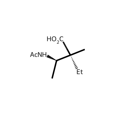 CC[C@@](C)(C(=O)O)[C@@H](C)NC(C)=O